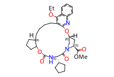 CCOc1c2c(nc3ccccc13)O[C@@H]1C[C@@H](C(=O)OC)N(C1)C(=O)[C@H](C1CCCC1)NC(=O)OC1CCC[C@H]1CCCC2